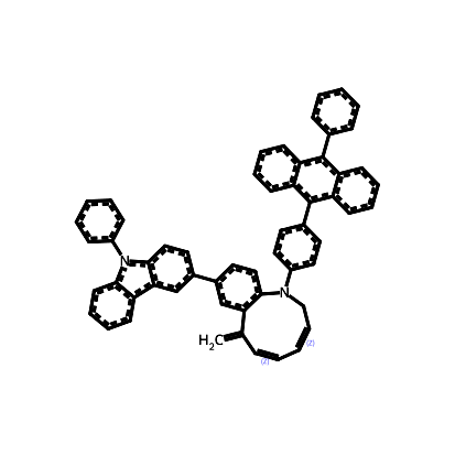 C=C1/C=C\C=C/CN(c2ccc(-c3c4ccccc4c(-c4ccccc4)c4ccccc34)cc2)c2ccc(-c3ccc4c(c3)c3ccccc3n4-c3ccccc3)cc21